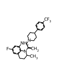 C=C(CN1CCC(c2ccc(C(F)(F)F)cc2)CC1)N1c2c(N)cc(F)cc2CCC1C